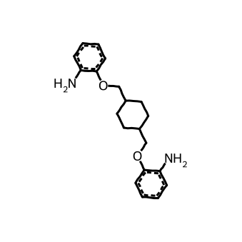 Nc1ccccc1OCC1CCC(COc2ccccc2N)CC1